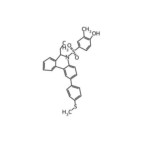 CCC1c2ccccc2-c2cc(-c3ccc(SC)cc3)ccc2N1S(=O)(=O)c1ccc(O)c(C)c1